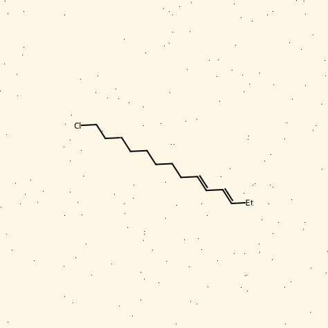 CCC=CC=CCCCCCCCCCl